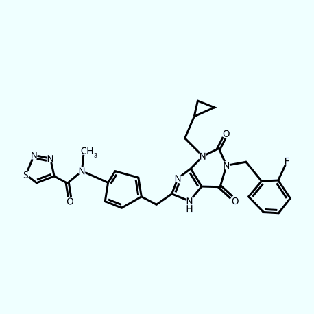 CN(C(=O)c1csnn1)c1ccc(Cc2nc3c([nH]2)c(=O)n(Cc2ccccc2F)c(=O)n3CC2CC2)cc1